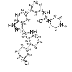 CN1CCN(C(=O)Nc2cncc(-c3cnc4[nH]nc(-c5cc6c(-c7cccc(Cl)c7)cccc6[nH]5)c4c3)c2)CC1